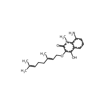 CC(C)=CCC/C(C)=C/COc1c(O)c2cccc(N)c2n(C)c1=O